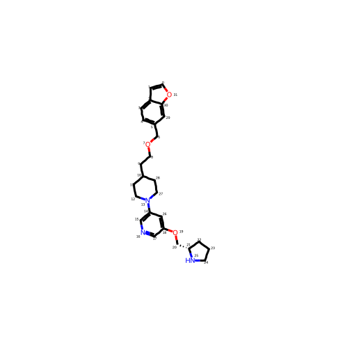 c1cc2ccc(COCCC3CCN(c4cncc(OC[C@@H]5CCCN5)c4)CC3)cc2o1